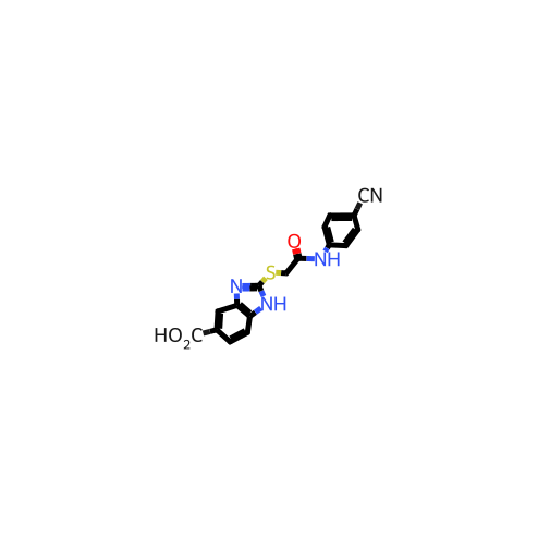 N#Cc1ccc(NC(=O)CSc2nc3cc(C(=O)O)ccc3[nH]2)cc1